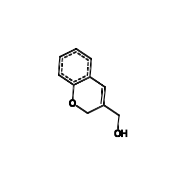 OCC1=Cc2ccccc2OC1